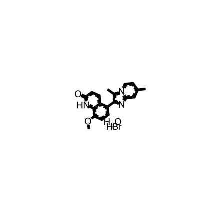 Br.COc1ccc(-c2nc3cc(C)ccn3c2C)c2ccc(=O)[nH]c12.O